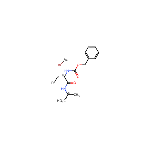 CC(=O)Br.CC(C)C[C@H](NC(=O)OCc1ccccc1)C(=O)N[C@@H](C)C(=O)O